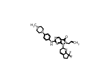 C=CCn1c(=O)c2cnc(Nc3ccc(N4CCN(C)CC4)cc3)nc2n1C1CC=C2CCC(F)(F)C2=N1